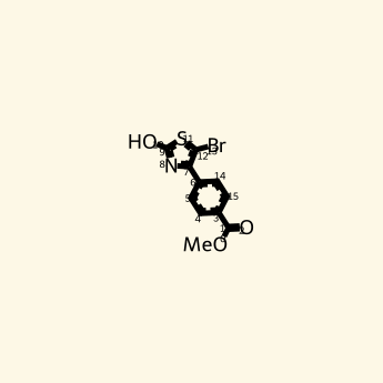 COC(=O)c1ccc(-c2nc(O)sc2Br)cc1